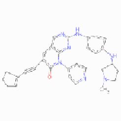 CN1CCC(Nc2ccc(Nc3ncc4cc(C#CC5=CCCC5)c(=O)n(-c5ccncc5)c4n3)cc2)C1